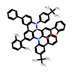 Cc1cccc(C)c1-c1cc2c3c(c1)N(c1ccc(C(C)(C)C)cc1-c1ccccc1)c1cc4oc5ccccc5c4cc1B3N(c1ccc(C(C)(C)C)cc1)c1ccc(-c3ccccc3)cc1-2